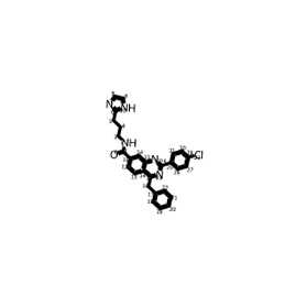 O=C(NCCCc1ncc[nH]1)c1ccc2c(Cc3ccccc3)nc(-c3ccc(Cl)cc3)nc2c1